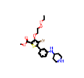 CCOOCCOc1c(C(=O)OC)sc(-c2cccc(NC3CCNCC3)c2)c1Br